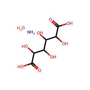 N.O.O=C(O)C(O)C(O)C(O)C(O)C(=O)O